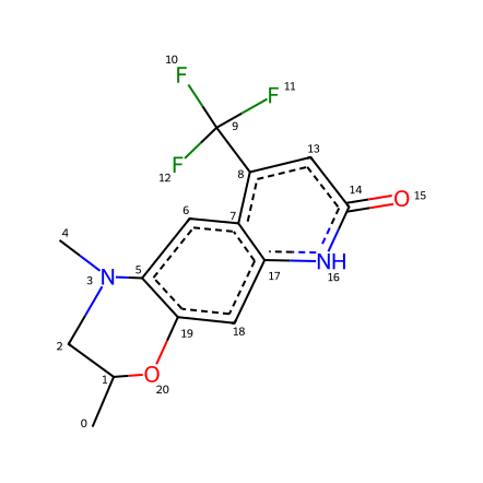 CC1CN(C)c2cc3c(C(F)(F)F)cc(=O)[nH]c3cc2O1